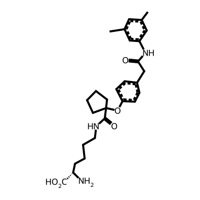 Cc1cc(C)cc(NC(=O)Cc2ccc(OC3(C(=O)NCCCC[C@H](N)C(=O)O)CCCC3)cc2)c1